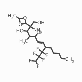 CCCCCC(/C=C/C(O)C(C)C(O)C(N)(CO)C1OC(C)O1)C(F)(F)C(F)(F)C(F)F